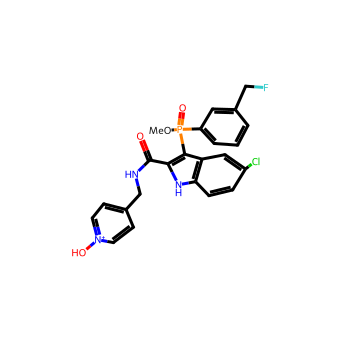 COP(=O)(c1cccc(CF)c1)c1c(C(=O)NCc2cc[n+](O)cc2)[nH]c2ccc(Cl)cc12